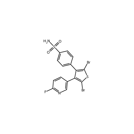 NS(=O)(=O)c1ccc(-c2c(Br)sc(Br)c2-c2ccc(F)nc2)cc1